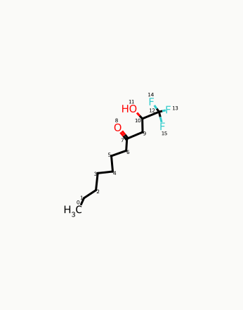 CCCCCCCC(=O)CC(O)C(F)(F)F